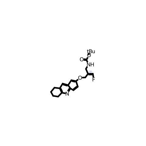 CC(C)(C)OC(=O)NC/C(=C/F)COc1ccc2nc3c(cc2c1)CCCC3